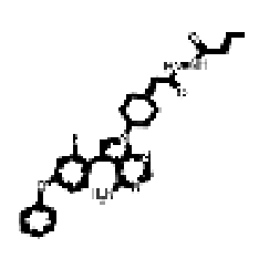 C/C=C/C(=O)NNC(=O)C=C1CCC(n2cc(-c3ccc(Oc4ccccc4)cc3F)c3c(N)ncnc32)CC1